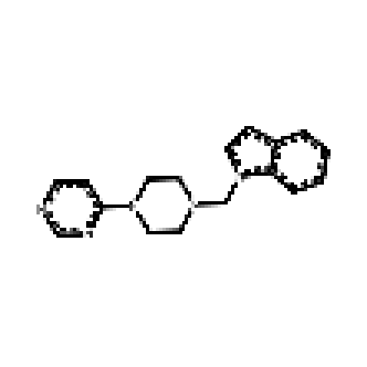 c1ccc2c(c1)ccn2CN1CCN(c2ccncn2)CC1